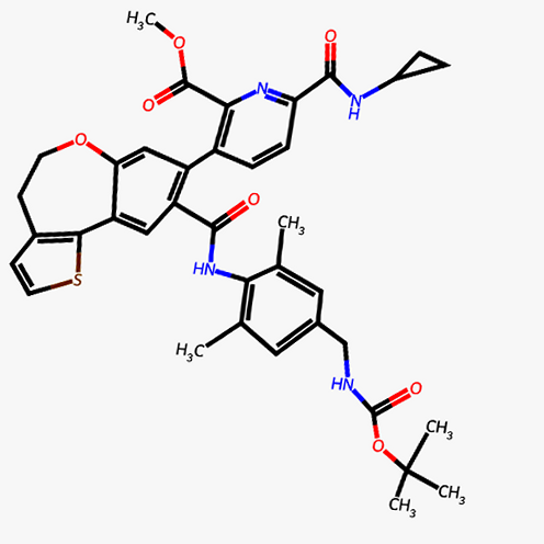 COC(=O)c1nc(C(=O)NC2CC2)ccc1-c1cc2c(cc1C(=O)Nc1c(C)cc(CNC(=O)OC(C)(C)C)cc1C)-c1sccc1CCO2